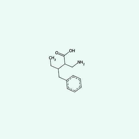 CCC(Cc1ccccc1)C(CN)C(=O)O